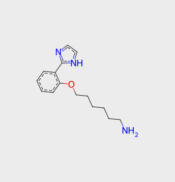 NCCCCCCOc1ccccc1-c1ncc[nH]1